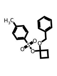 Cc1ccc(S(=O)(=O)OC2(OCc3ccccc3)CCC2)cc1